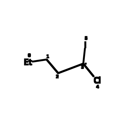 CCCC[C](Cl)I